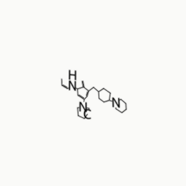 C=C1C(CC2CCC(N3CCCCC3)CC2)=CC(N2CCCCC2)=CC1N/C=C\C